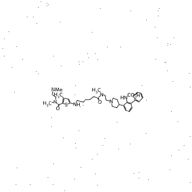 CNCCN(C)C(=O)c1sc(NCCCCCC(=O)N(C)CCN2CCC(c3cccc(-c4ccccc4)c3NC(=O)O)CC2)cc1C